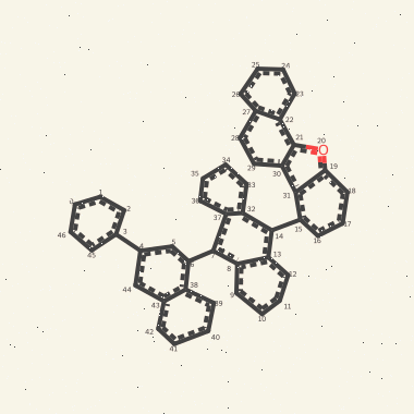 c1ccc(-c2cc(-c3c4ccccc4c(-c4cccc5oc6c7ccccc7ccc6c45)c4ccccc34)c3ccccc3c2)cc1